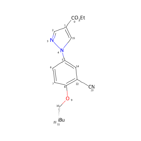 CCOC(=O)c1cnn(-c2ccc(OC[C@@H](C)CC)c(C#N)c2)c1